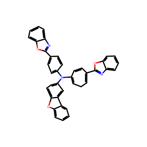 C1=CC(N(c2ccc(-c3nc4ccccc4o3)cc2)c2ccc3oc4ccccc4c3c2)=CCC=C1c1nc2ccccc2o1